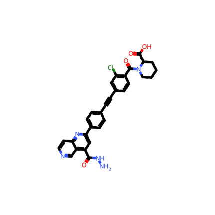 NNC(=O)c1cc(-c2ccc(C#Cc3ccc(C(=O)N4CCCCC4C(=O)O)c(Cl)c3)cc2)nc2ccncc12